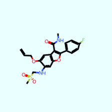 C=CCOc1cc2c(C(=O)NC)c(-c3ccc(F)cc3)oc2cc1NCS(C)(=O)=O